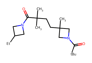 CCC1CN(C(=O)C(C)(C)CCC2(C)CN(C(=O)C(C)(C)C)C2)C1